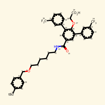 CC(C)(C)c1ccc(COCCCCCCNC(=O)c2cc(-c3cccc(C(F)(F)F)c3)c(OCC(=O)O)c(-c3cccc(C(F)(F)F)c3)c2)cc1